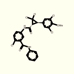 COc1c(Cl)cc([C@H]2[C@H](C(=O)Nc3ccc(Cl)c(C(=O)Nc4ccccc4)c3)C2(Cl)Cl)cc1Cl